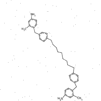 Cc1cc(N)ccc1Cc1ccc(CCCCCCCCCc2ccc(Cc3ccc(N)cc3C)cc2)cc1